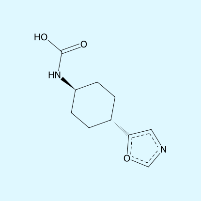 O=C(O)N[C@H]1CC[C@H](c2cnco2)CC1